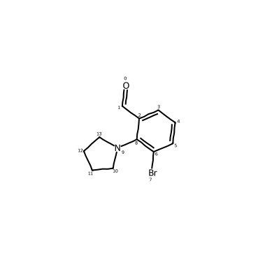 O=Cc1cccc(Br)c1N1CCCC1